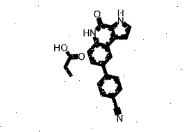 CCC(=O)O.N#Cc1ccc(-c2ccc3[nH]c(=O)c4[nH]ccc4c3c2)cc1